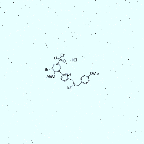 CCN(Cc1ccc(OC)cc1)Cc1ccc(-c2cc(S(=O)(=O)CC)cc(Br)c2OC)[nH]1.Cl